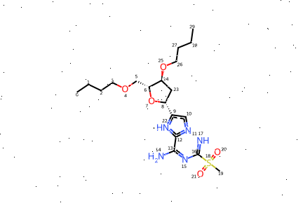 CCCCOC[C@H]1O[C@@H](c2cnc(/C(N)=N\C(=N)S(C)(=O)=O)[nH]2)C[C@@H]1OCCCC